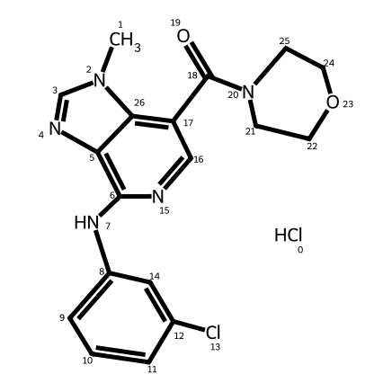 Cl.Cn1cnc2c(Nc3cccc(Cl)c3)ncc(C(=O)N3CCOCC3)c21